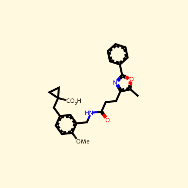 COc1ccc(CC2(C(=O)O)CC2)cc1CNC(=O)CCc1nc(-c2ccccc2)oc1C